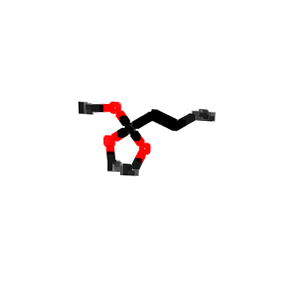 CCCCC=C[Si](OCC)(OCC)OC(C)CC